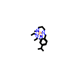 CCN(CC)P1(=NC)N(C)CCCN1Cc1ccc(C(C)C)cc1